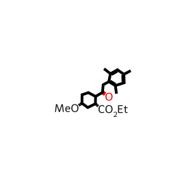 CCOC(=O)C1CC(OC)CCC1C(=O)Cc1c(C)cc(C)cc1C